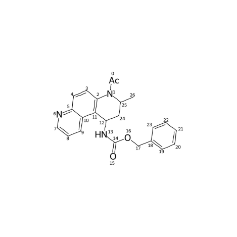 CC(=O)N1c2ccc3ncccc3c2C(NC(=O)OCc2ccccc2)CC1C